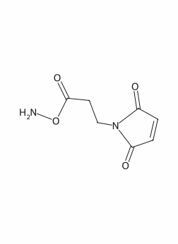 NOC(=O)CCN1C(=O)C=CC1=O